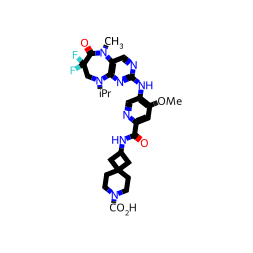 COc1cc(C(=O)NC2CC3(CCN(C(=O)O)CC3)C2)ncc1Nc1ncc2c(n1)N(C(C)C)CC(F)(F)C(=O)N2C